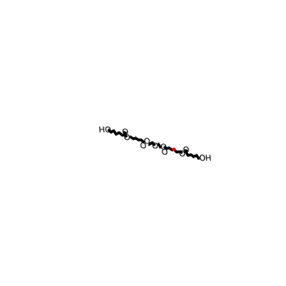 O=C(CCCCCO)OCCCCCC(=O)OCCOCCOC(=O)CCCCCOC(=O)CCCCCO